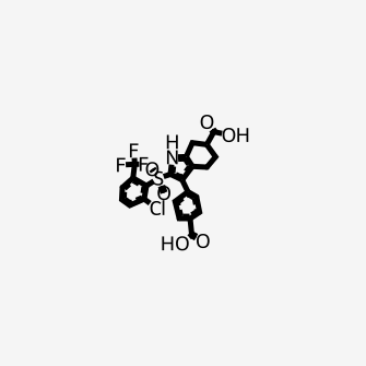 O=C(O)c1ccc(-c2c(S(=O)(=O)c3c(Cl)cccc3C(F)(F)F)[nH]c3c2CCC(C(=O)O)C3)cc1